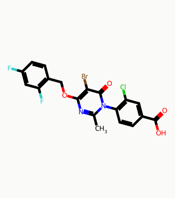 Cc1nc(OCc2ccc(F)cc2F)c(Br)c(=O)n1-c1ccc(C(=O)O)cc1Cl